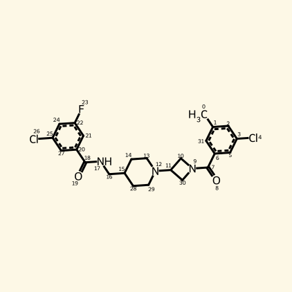 Cc1cc(Cl)cc(C(=O)N2CC(N3CCC(CNC(=O)c4cc(F)cc(Cl)c4)CC3)C2)c1